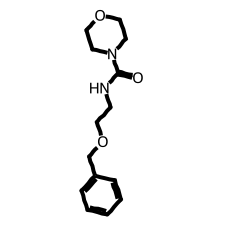 O=C(NCCOCc1ccccc1)N1CCOCC1